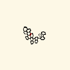 c1ccc(-c2ccc3ccc4cccc5ccc2c3c45)c(-c2c3ccccc3c(-c3ccc(-c4cccc5c4oc4ccccc45)c4ccccc34)c3ccccc23)c1